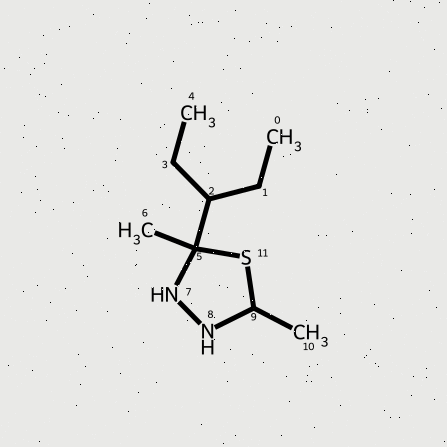 CCC(CC)C1(C)NNC(C)S1